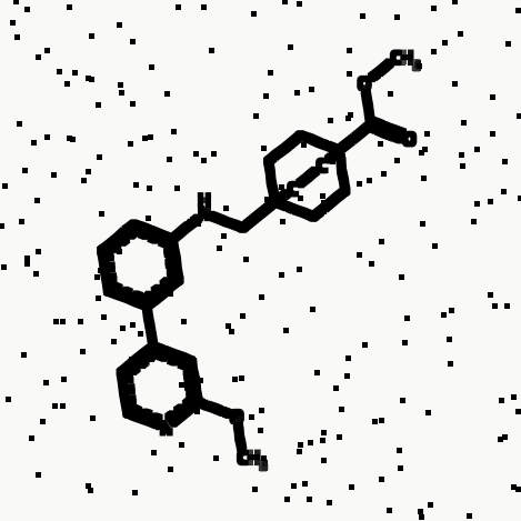 COC(=O)C12CCC(CNc3cccc(-c4ccnc(OC)c4)c3)(CC1)CC2